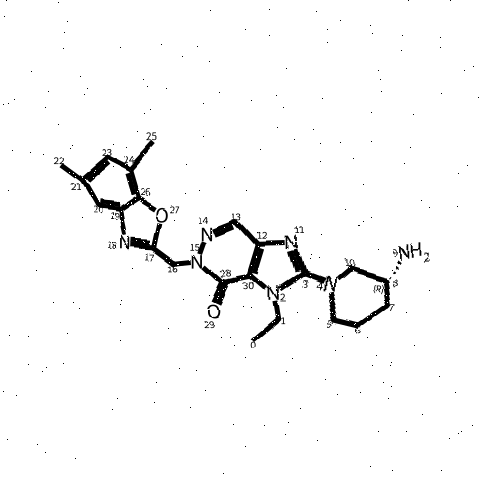 CCn1c(N2CCC[C@@H](N)C2)nc2cnn(Cc3nc4cc(C)cc(C)c4o3)c(=O)c21